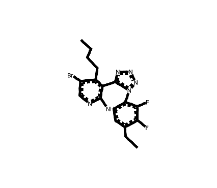 CCCCc1c(Br)cnc(N)c1-c1nnnn1-c1ccc(CC)c(F)c1F